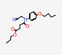 CCCCOc1ccc(N(CC#N)C(=O)CCC(=O)OCCC)cc1